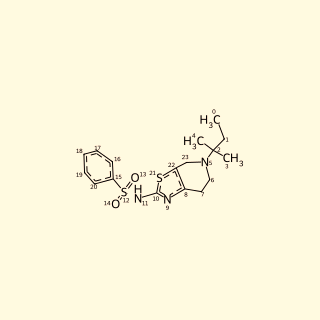 CCC(C)(C)N1CCc2nc(NS(=O)(=O)c3ccccc3)sc2C1